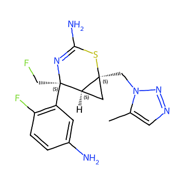 Cc1cnnn1C[C@]12C[C@H]1[C@@](CF)(c1cc(N)ccc1F)N=C(N)S2